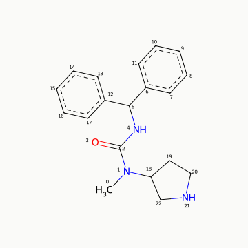 CN(C(=O)NC(c1ccccc1)c1ccccc1)C1CCNC1